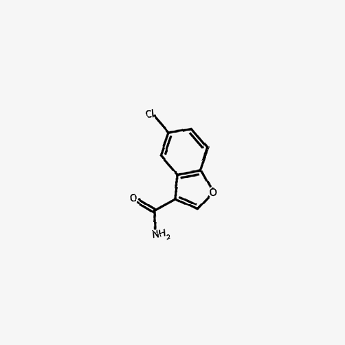 NC(=O)c1coc2ccc(Cl)cc12